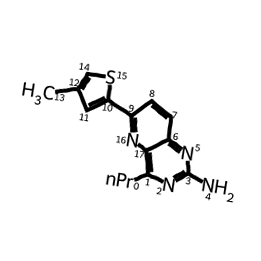 CCCc1nc(N)nc2ccc(-c3cc(C)cs3)nc12